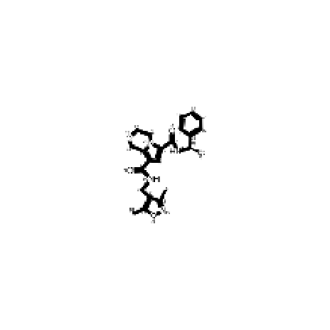 CC[C@@H](NC(=O)c1cc(C(=O)NCc2c(C)noc2C)c2n1CCOC2)c1ccccc1